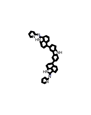 c1ccc(/N=C2\Nc3ccc(-c4ccc5[nH]c6ccc(-c7ccc8c9c(cccc79)/C(=N/c7ccccn7)N8)cc6c5c4)c4cccc2c34)nc1